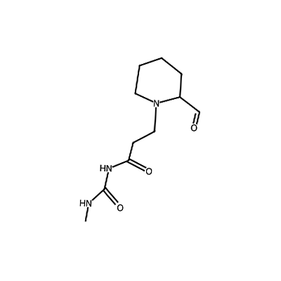 CNC(=O)NC(=O)CCN1CCCCC1C=O